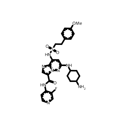 COc1ccc(CCS(=O)(=O)Nc2cc(NC3CCC(N)CC3)nn3c(C(=O)Nc4ccncc4F)cnc23)cc1